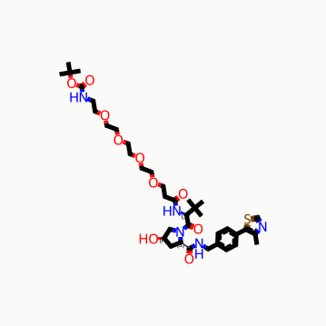 Cc1ncsc1-c1ccc(CNC(=O)[C@@H]2C[C@@H](O)CN2C(=O)[C@@H](NC(=O)CCOCCOCCOCCOCCNC(=O)OC(C)(C)C)C(C)(C)C)cc1